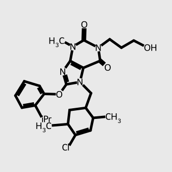 CC1CC(Cn2c(Oc3ccccc3C(C)C)nc3c2c(=O)n(CCCO)c(=O)n3C)C(C)C=C1Cl